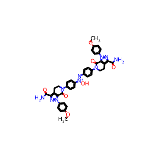 COc1ccc(-n2nc(C(N)=O)c3c2C(=O)N(c2ccc(/N=[N+](\O)c4ccc(N5CCc6c(C(N)=O)nn(-c7ccc(OC)cc7)c6C5=O)cc4)cc2)CC3)cc1